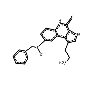 O=C(O)CCc1c[nH]c2c(=O)[nH]c3ccc([S+]([O-])Cc4ccccc4)cc3c12